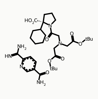 CC(C)(C)OC(=O)CN(CC(=O)OC(C)(C)C)CC(=O)N1CCC[C@]1(C(=O)O)C1CCCCC1.N=C(N)c1ccc(C(N)=O)cn1